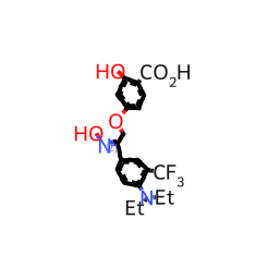 CCN(CC)c1ccc(/C(COc2ccc(C(=O)O)c(O)c2)=N/O)cc1C(F)(F)F